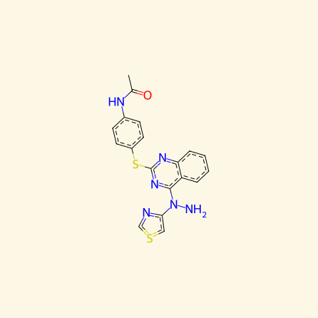 CC(=O)Nc1ccc(Sc2nc(N(N)c3cscn3)c3ccccc3n2)cc1